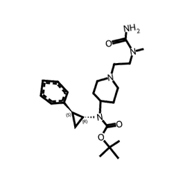 CN(CCN1CCC(N(C(=O)OC(C)(C)C)[C@@H]2C[C@H]2c2ccccc2)CC1)C(N)=O